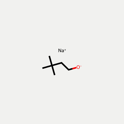 CC(C)(C)CC[O-].[Na+]